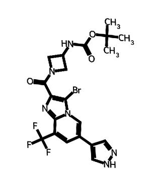 CC(C)(C)OC(=O)NC1CN(C(=O)c2nc3c(C(F)(F)F)cc(-c4cn[nH]c4)cn3c2Br)C1